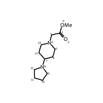 COC(=O)CN1CCC(N2CCCC2)CC1